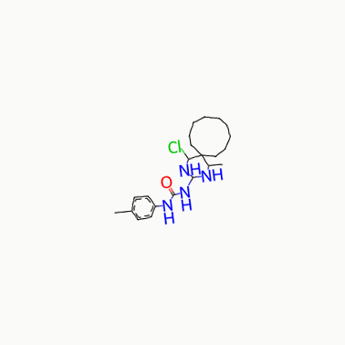 Cc1ccc(NC(=O)NC2NC(C)C3(CCCCCCCCC3)C(Cl)N2)cc1